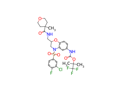 CC1(C(=O)NCC2CN(S(=O)(=O)c3ccc(F)c(Cl)c3)c3cc(NC(=O)OC(C)(C)C(F)(F)F)ccc3O2)CCOCC1